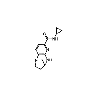 O=C(NC1CC1)c1ccc2c(n1)NC1CCN2C1